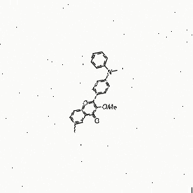 COc1c(-c2ccc(N(C)c3ccccc3)cc2)oc2ccc(C)cc2c1=O